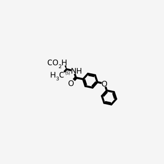 C[C@H](NC(=O)c1ccc(Oc2ccccc2)cc1)C(=O)O